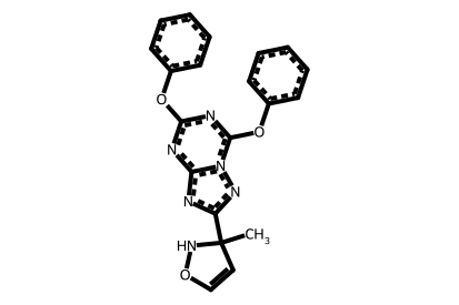 CC1(c2nc3nc(Oc4ccccc4)nc(Oc4ccccc4)n3n2)C=CON1